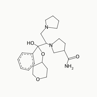 NC(=O)C1CCN(C(CN2CCCC2)C(O)(OC2CCOCC2)c2ccccc2)C1